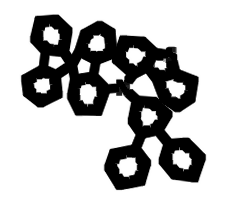 c1ccc(-c2ccc(N(c3cccc4c3-c3ccccc3C43c4ccccc4-c4ccccc43)c3cccc4sc5ccccc5c34)cc2-c2ccccc2)cc1